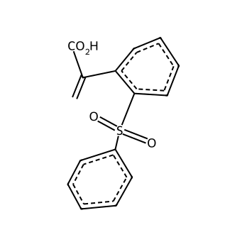 C=C(C(=O)O)c1ccccc1S(=O)(=O)c1ccccc1